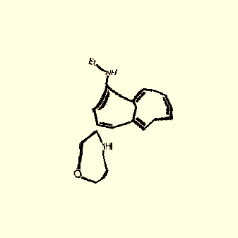 C1COCCN1.CCNc1cccc2ccccc12